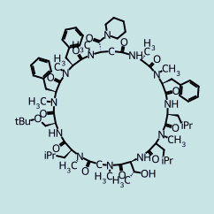 CC(C)CC1C(=O)N[C@@H]([C@@H](C)O)C(=O)N(C)CC(=O)N(C)[C@@H](CC(C)C)C(=O)N[C@@H](COC(C)(C)C)C(=O)N(C)[C@@H](Cc2ccccc2)C(=O)N(C)[C@@H](Cc2ccccc2)C(=O)N(C)[C@H](C(=O)N2CCCCC2)CC(=O)N[C@H](C)C(=O)N(C)[C@@H](Cc2ccccc2)C(=O)N[C@@H](CC(C)C)C(=O)N1C